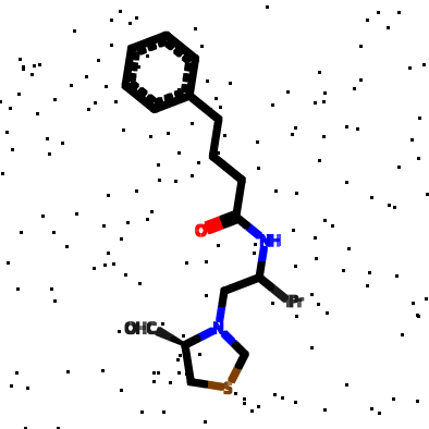 CC(C)C(CN1CSC[C@H]1C=O)NC(=O)CCCc1ccccc1